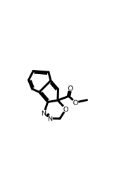 COC(=O)C12C=c3ccccc3=C1N=NCO2